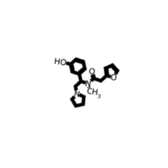 CN(C(=O)Cc1ccco1)C(CN1CCCC1)c1cccc(O)c1